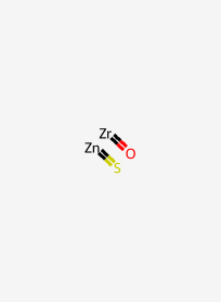 [O]=[Zr].[S]=[Zn]